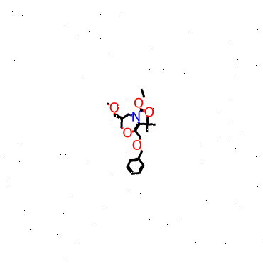 CCOC(=O)N1CC(=COC)COC(COCc2ccccc2)=C1C(C)(C)C